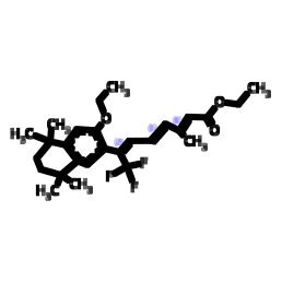 CCOC(=O)/C=C(C)/C=C/C=C(/c1cc2c(cc1OCC)C(C)(C)CCC2(C)C)C(F)(F)F